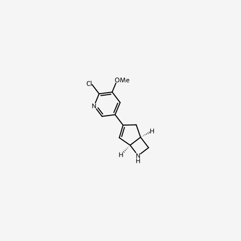 COc1cc(C2=C[C@@H]3NC[C@@H]3C2)cnc1Cl